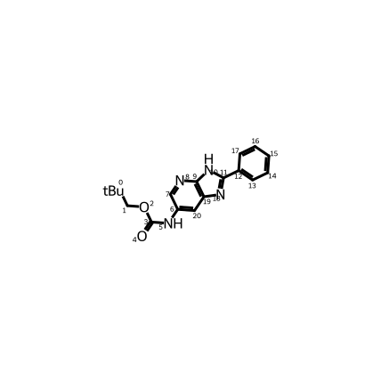 CC(C)(C)COC(=O)Nc1cnc2[nH]c(-c3ccccc3)nc2c1